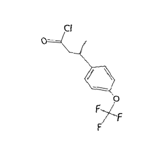 CC(CC(=O)Cl)c1ccc(OC(F)(F)F)cc1